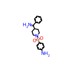 Nc1ccc(S(=O)(=O)N2CCC([C@@H](N)c3ccccc3)CC2)cc1